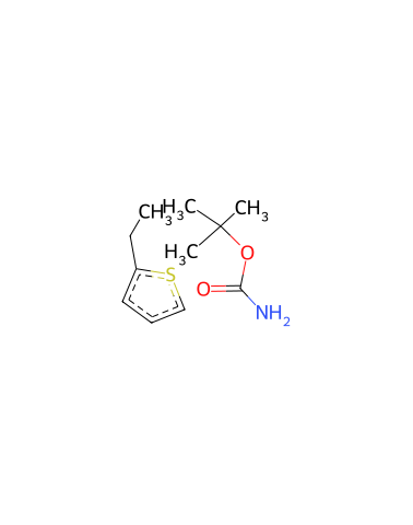 CC(C)(C)OC(N)=O.CCc1cccs1